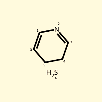 C1=CN=CCC1.S